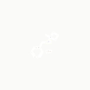 Br.CC1(NCc2ccccc2)CCC1